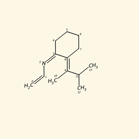 C=C/N=C1/CCCC/C1=C(/C)C(C)C